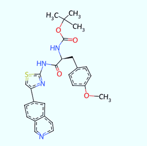 COc1ccc(C[C@H](NC(=O)OC(C)(C)C)C(=O)Nc2nc(-c3ccc4cnccc4c3)cs2)cc1